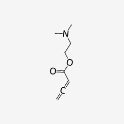 C=C=CC(=O)OCCN(C)C